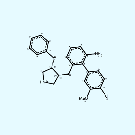 COc1cc(-c2c(N)cccc2C[C@H]2CNC[C@@H]2Cc2ccccc2)ccc1Cl